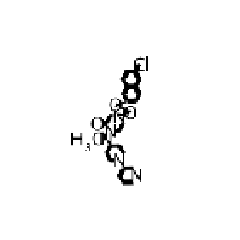 CN(C1CCN(c2cccnc2)CC1)N1CCN(S(=O)(=O)c2ccc3cc(Cl)ccc3c2)CC1=O